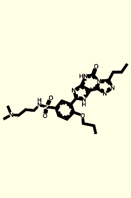 CCCOc1ccc(S(=O)(=O)NCCCN(C)C)cc1-c1nc2[nH]c(=O)n3c(CCC)nnc3c2[nH]1